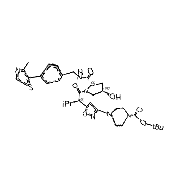 Cc1ncsc1-c1ccc(CNC(=O)[C@@H]2C[C@@H](O)CN2C(=O)[C@@H](c2cc(N3CCN(C(=O)OC(C)(C)C)CC3)no2)C(C)C)cc1